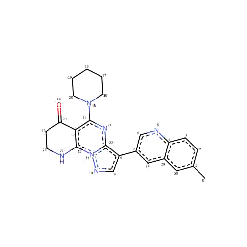 Cc1ccc2ncc(-c3cnn4c5c(c(N6CCCCC6)nc34)C(=O)CCN5)cc2c1